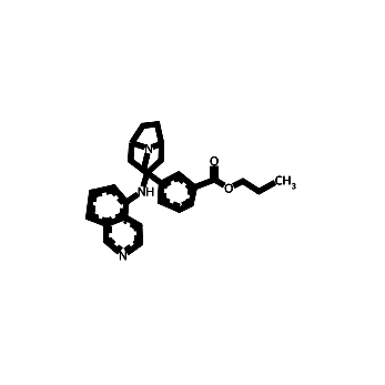 CCCOC(=O)c1cccc(CN2C3CCC2CC(Nc2cccc4cnccc24)C3)c1